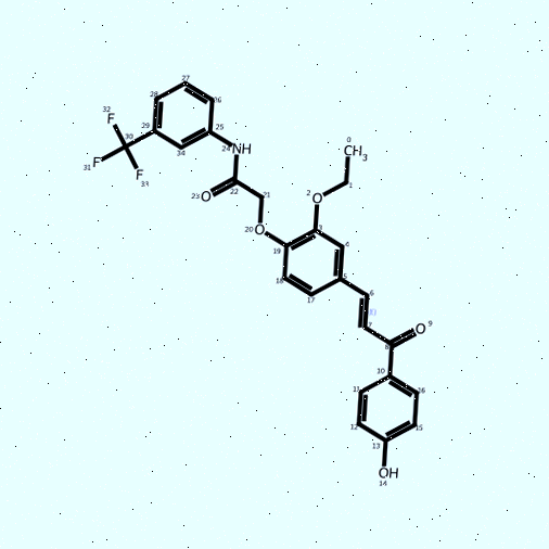 CCOc1cc(/C=C/C(=O)c2ccc(O)cc2)ccc1OCC(=O)Nc1cccc(C(F)(F)F)c1